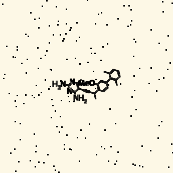 COc1cc(-c2c(C)cccc2C)ccc1C(C)C#Cc1c(C)nc(N)nc1N